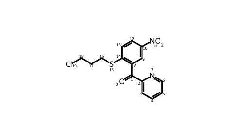 O=C(c1ccccn1)c1cc([N+](=O)[O-])ccc1SCCCCl